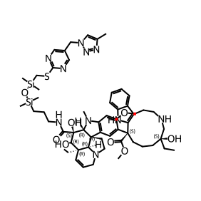 CC[C@]1(O)CCC[C@](C(=O)OC)(c2cc3c(cc2OC)N(C)[C@H]2[C@@](O)(C(=O)NCCC[Si](C)(C)O[Si](C)(C)CSc4ncc(Cn5cc(C)nn5)cn4)[C@H](O)[C@]4(CC)C=CCN5CC[C@]32[C@@H]54)c2[nH]c3ccccc3c2CCNC1